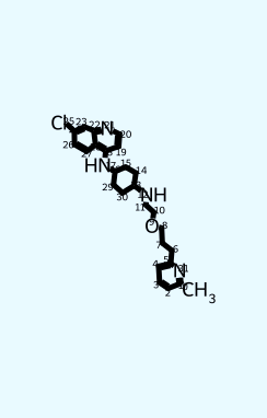 Cc1cccc(CCCOCCNC2CCC(Nc3ccnc4cc(Cl)ccc34)CC2)n1